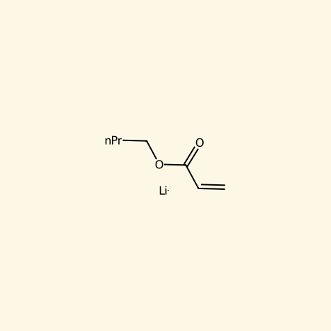 C=CC(=O)OCCCC.[Li]